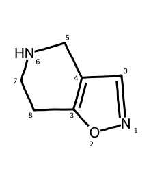 c1noc2c1CNCC2